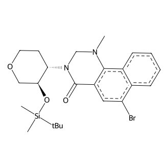 CN1CN([C@H]2CCOC[C@@H]2O[Si](C)(C)C(C)(C)C)C(=O)c2cc(Br)c3ccccc3c21